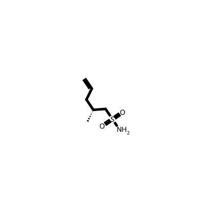 C=CC[C@@H](C)CS(N)(=O)=O